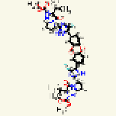 COC(=O)N[C@H](C(=O)N1CCC[C@H]1c1nc(F)c(-c2ccc3c(c2)Oc2cc(-c4[nH]c([C@@H]5CCCN5C(=O)[C@@H](NC(=O)OC)C(C)C)nc4F)ccc2O3)[nH]1)C(C)C